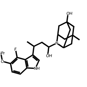 CC(C)Oc1ccc2[nH]cc(C(C)CC(O)N3C4CC5(C)CC3CC(O)(C4)C5)c2c1F